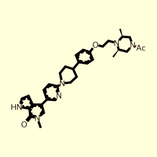 CC(=O)N1C[C@@H](C)N(CCOc2ccc(C3CCN(c4ccc(-c5cn(C)c(=O)c6[nH]ccc56)cn4)CC3)cc2)[C@@H](C)C1